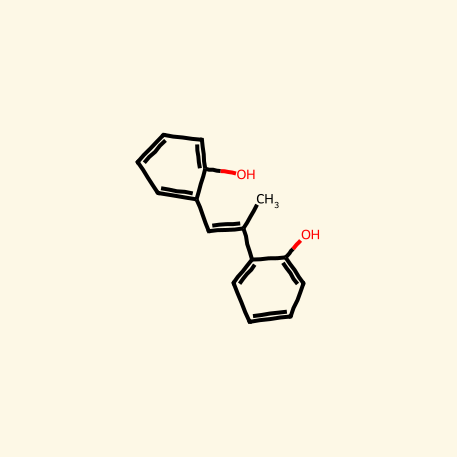 CC(=Cc1ccccc1O)c1ccccc1O